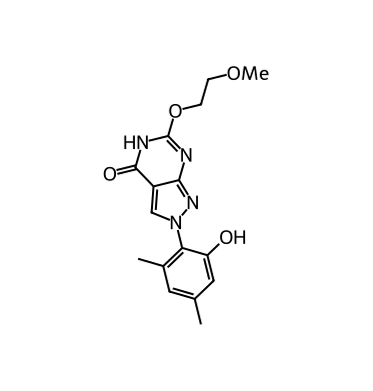 COCCOc1nc2nn(-c3c(C)cc(C)cc3O)cc2c(=O)[nH]1